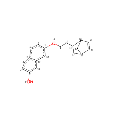 Oc1ccc2ccc(OCCC3CC4C=CC3C4)cc2c1